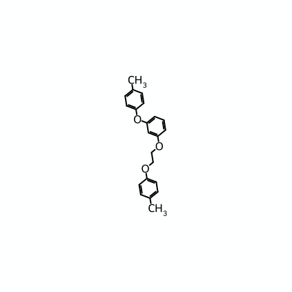 Cc1ccc(OCCOc2cccc(Oc3ccc(C)cc3)c2)cc1